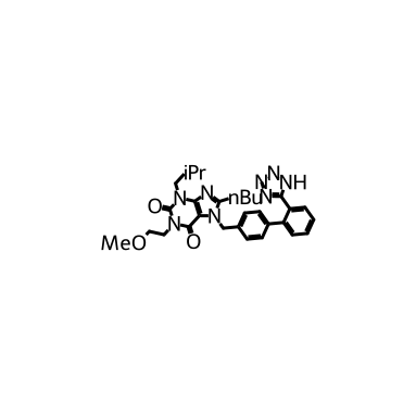 CCCCc1nc2c(c(=O)n(CCOC)c(=O)n2CC(C)C)n1Cc1ccc(-c2ccccc2-c2nnn[nH]2)cc1